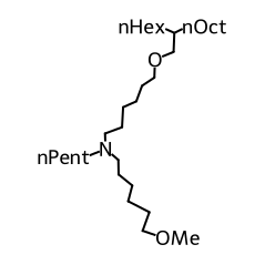 CCCCCCCCC(CCCCCC)COCCCCCCN(CCCCC)CCCCCCOC